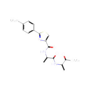 C=C(NC(=O)c1csc(-c2ccc(NC)cc2)n1)C(=O)NC(=C)C(=O)OC